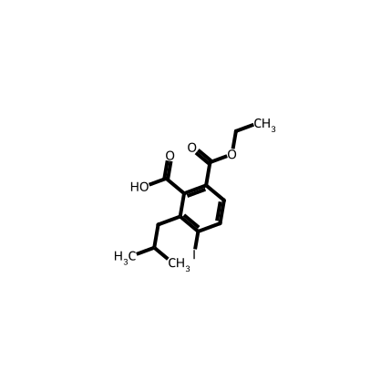 CCOC(=O)c1ccc(I)c(CC(C)C)c1C(=O)O